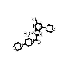 Cn1c(C(=O)N2CCC(N3CCOCC3)CC2)nc2c(N3CCOCC3)cc(Cl)nc21